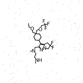 CCOCC1(COCC(F)(F)F)CCC(c2c(CN(C)CCNC)nn3c2CC(F)(F)C3)CC1